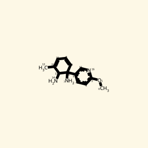 COc1ccc(C2(N)C=CC=C(C)C2N)cn1